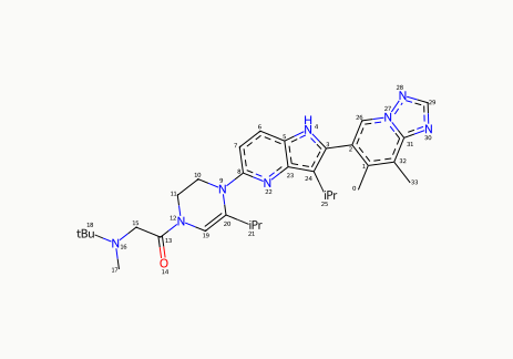 Cc1c(-c2[nH]c3ccc(N4CCN(C(=O)CN(C)C(C)(C)C)C=C4C(C)C)nc3c2C(C)C)cn2ncnc2c1C